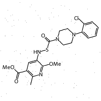 COC(=O)c1cc(NSC(=O)N2CCN(c3ccccc3Cl)CC2)c(OC)nc1C